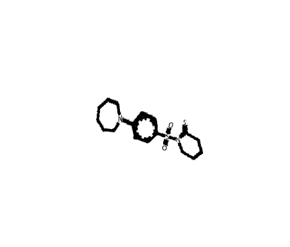 O=S(=O)(c1ccc(N2CCCCCC2)cc1)N1CCCCC1=S